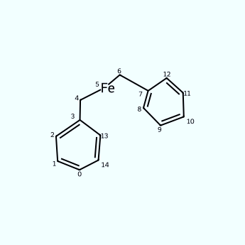 c1ccc([CH2][Fe][CH2]c2ccccc2)cc1